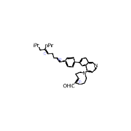 CCC/C(=C\CC/C=C/c1ccc(C2=CCC3=CN=CC=C(N4CC/C=C(\C=O)CCC4)C3=C2)cc1)CC(C)C